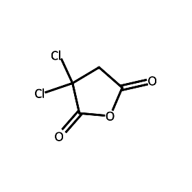 O=C1CC(Cl)(Cl)C(=O)O1